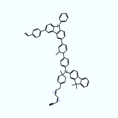 C#C/C=C\C=C/CC1=CCC(C)(N(c2ccc(C3C=CC(c4ccc5c(c4)c4cc(-c6ccc(C=C)cc6)ccc4n5-c4ccccc4)=CC3C)cc2)c2ccc3c(c2)C(C)(C)c2ccccc2-3)C=C1